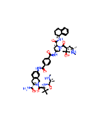 CN[C@@H](C)C(=O)N[C@H](C(=O)N1Cc2cc(NC(=O)c3ccc(C(=O)N[C@H]4C[C@@H](C(=O)N[C@@H]5CCCc6ccccc65)N(C(=O)[C@@H](C[C@H](C)NC)C(C)(C)O)C4)cc3)ccc2C[C@H]1C(N)=O)C(C)(C)C